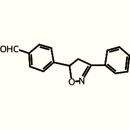 O=Cc1ccc(C2CC(c3ccccc3)=NO2)cc1